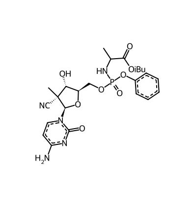 CC(C)COC(=O)C(C)NP(=O)(OC[C@H]1O[C@@H](n2ccc(N)nc2=O)[C@](C)(C#N)[C@@H]1O)Oc1ccccc1